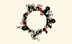 CCCC[C@H]1C(=O)N(C)[C@@H](CCCC)C(=O)N[C@@H](C)C(=O)N[C@H](C(=O)NCC(N)=O)CSCC(=O)N[C@@H](Cc2ccc(O)cc2)C(=O)N(C)[C@@H]2NC(=O)C[C@H](NC2=O)C(=O)N2CCC[C@H]2C(=O)N[C@@H](Cc2cnc[nH]2)C(=O)N[C@@H](CCC(=O)O)C(=O)N2C[C@H](O)C[C@H]2C(=O)N[C@@H](Cc2c[nH]c3ccccc23)C(=O)N[C@@H](CO)C(=O)N[C@@H](Cc2c[nH]c3ccccc23)C(=O)N1C